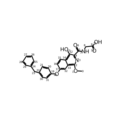 COc1nc(C(=O)NCC(=O)O)c(O)c2ccc(Oc3ccc(Cc4ccccc4)cc3)cc12